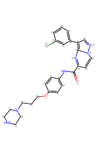 O=C(Nc1ccc(OCCCN2CCNCC2)cc1)c1ccn2ncc(-c3cccc(Cl)c3)c2n1